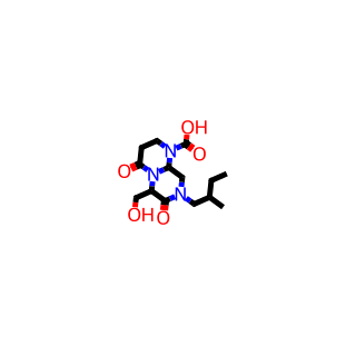 CCC(C)CN1CC2N(C(=O)O)CCC(=O)N2C(CO)C1=O